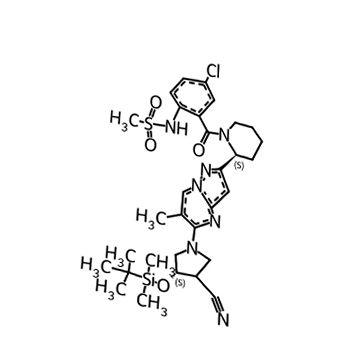 Cc1cn2nc([C@@H]3CCCCN3C(=O)c3cc(Cl)ccc3NS(C)(=O)=O)cc2nc1N1CC(C#N)[C@H](O[Si](C)(C)C(C)(C)C)C1